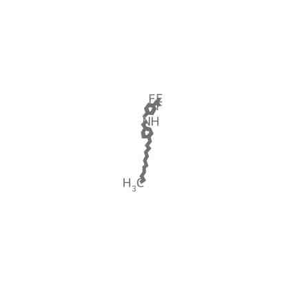 CCCCCCCCCCCCc1ccc(CNCc2ccc(C(F)(F)F)cc2)cc1